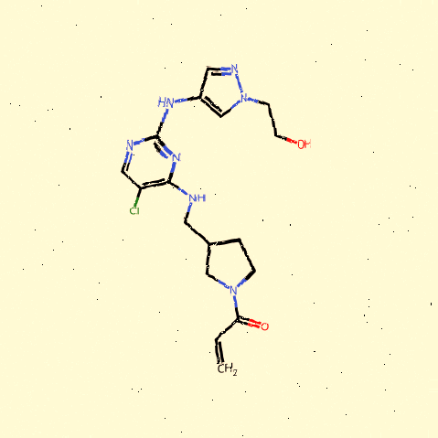 C=CC(=O)N1CCC(CNc2nc(Nc3cnn(CCO)c3)ncc2Cl)C1